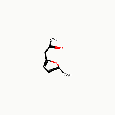 COC(=O)Cc1ccc(C(=O)O)o1